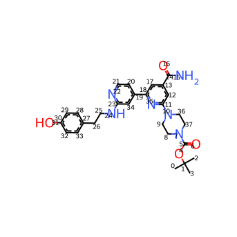 CC(C)(C)OC(=O)N1CCN(c2cc(C(N)=O)cc(-c3ccnc(NCCc4ccc(O)cc4)c3)n2)CC1